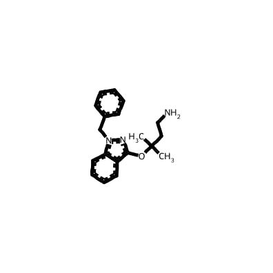 CC(C)(CCN)Oc1nn(Cc2ccccc2)c2ccccc12